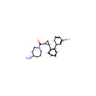 NC1CCCN(C(=O)C2CC2c2ccccc2C2C=C(F)C=CC2)CC1